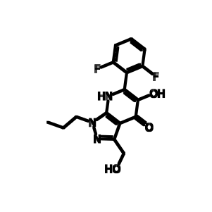 CCCn1nc(CO)c2c(=O)c(O)c(-c3c(F)cccc3F)[nH]c21